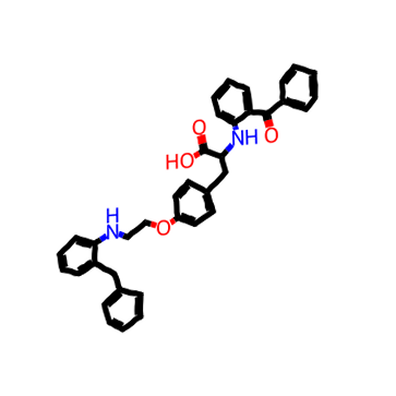 O=C(c1ccccc1)c1ccccc1NC(Cc1ccc(OCCNc2ccccc2Cc2ccccc2)cc1)C(=O)O